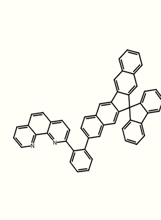 c1ccc(-c2ccc3ccc4cccnc4c3n2)c(-c2ccc3cc4c(cc3c2)C2(c3ccccc3-c3ccccc32)c2cc3ccccc3cc2-4)c1